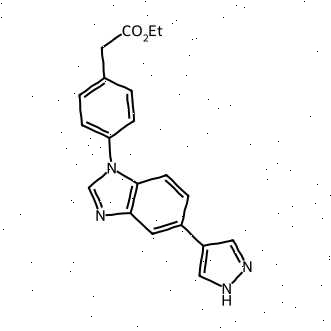 CCOC(=O)Cc1ccc(-n2cnc3cc(-c4cn[nH]c4)ccc32)cc1